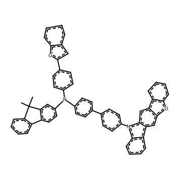 CC1(C)c2ccccc2-c2ccc(N(c3ccc(-c4ccc(-n5c6ccccc6c6cc7oc8ccccc8c7cc65)cc4)cc3)c3ccc(-c4cc5ccccc5o4)cc3)cc21